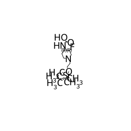 CC(C)(C)[Si](C)(C)OCCN1CC[C@@H](NC(=O)O)[C@H](F)C1